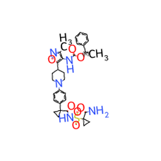 Cc1noc(C2CCN(c3ccc(C4(C(=O)NS(=O)(=O)C5(C(N)=O)CC5)CC4)cc3)CC2)c1NC(=O)O[C@H](C)c1ccccc1